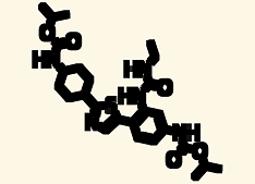 CCNC(=O)Nc1cc(NC(=O)OC(C)C)ccc1-c1cnc(C2CCC(NC(=O)OC(C)C)CC2)s1